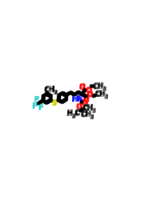 CCOC(=O)C(CCCc1ccc(Sc2cc(C)cc(C(F)(F)F)c2)cc1)(NC(=O)OC(C)(C)C)C(=O)OCC